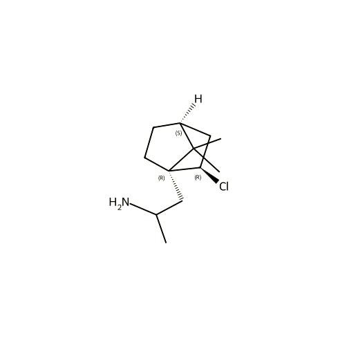 CC(N)C[C@@]12CC[C@@H](C[C@H]1Cl)C2(C)C